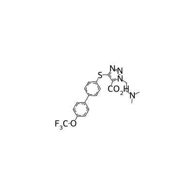 CN(C)CCn1nnc(Sc2ccc(-c3ccc(OC(F)(F)F)cc3)cc2)c1C(=O)O